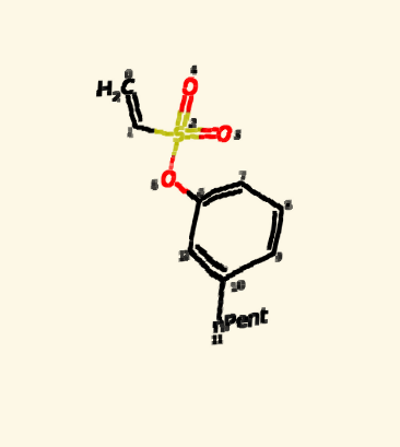 C=CS(=O)(=O)Oc1cccc(CCCCC)c1